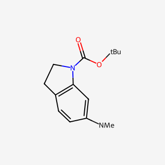 CNc1ccc2c(c1)N(C(=O)OC(C)(C)C)CC2